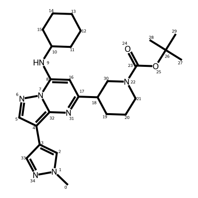 Cn1cc(-c2cnn3c(NC4CCCCC4)cc(C4CCCN(C(=O)OC(C)(C)C)C4)nc23)cn1